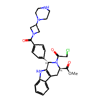 COC(=O)[C@H]1Cc2c([nH]c3ccccc23)[C@H](c2ccc(C(=O)N3CC(N4CCNCC4)C3)cc2)N1C(=O)CCl